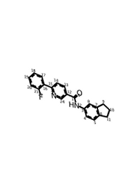 O=C(Nc1ccc2c(c1)CCC2)c1ccc(-c2ccccc2F)nc1